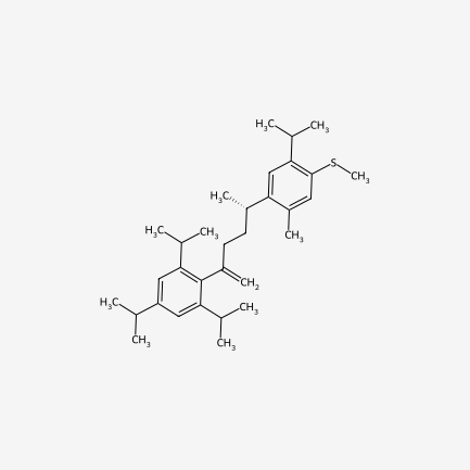 C=C(CC[C@H](C)c1cc(C(C)C)c(SC)cc1C)c1c(C(C)C)cc(C(C)C)cc1C(C)C